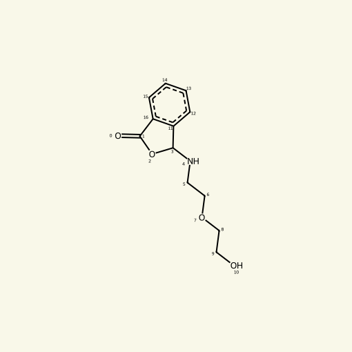 O=C1OC(NCCOCCO)c2ccccc21